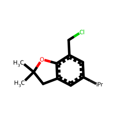 CC(C)c1cc(CCl)c2c(c1)CC(C)(C)O2